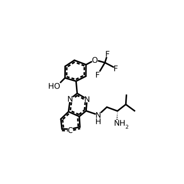 CC(C)[C@H](N)CNc1nc(-c2cc(OC(F)(F)F)ccc2O)nc2ccccc12